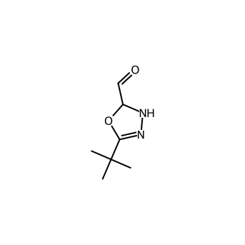 CC(C)(C)C1=NNC(C=O)O1